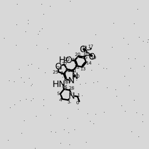 CCN1CCCC(Nc2nnc(-c3ccc(S(C)(=O)=O)cc3O)c3c2COC3)C1